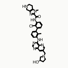 Cc1c(Nc2ncnc3cc(CN4CC[C@@H](O)C4)cnc23)cccc1-c1cccc(NC(=O)c2nc3c(n2C)CCNC3)c1Cl